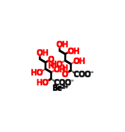 O=C([O-])[C@H](O)[C@@H](O)[C@H](O)[C@H](O)CO.O=C([O-])[C@H](O)[C@@H](O)[C@H](O)[C@H](O)CO.[Be+2]